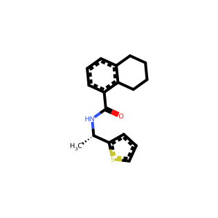 C[C@H](NC(=O)c1cccc2c1CCCC2)c1cccs1